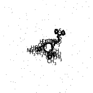 CC[C@H]1OC(=O)[C@H](C)[C@@H](O[C@H]2C[C@@](C)(OC)[C@@H](O)[C@H](C)O2)[C@H](C)[C@@H](O[C@@H]2O[C@H](C)C[C@H](N(C)C)[C@H]2O)[C@](C)(O)C[C@@H](C)CN(CCCNC(=O)c2cc3c(s2)-c2ccccc2Sc2ccccc2-3)[C@H](C)[C@@H](O)[C@]1(C)O